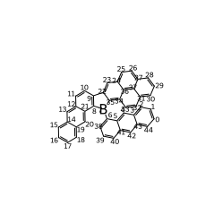 c1ccc2cc3c(B4c5c(ccc6cc7ccccc7cc56)-c5cc6ccc7cccc8ccc(c54)c6c78)cccc3cc2c1